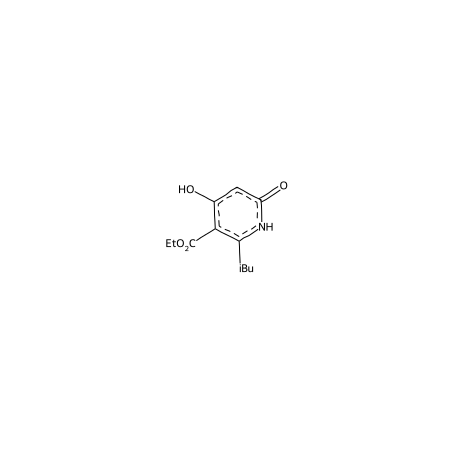 CCOC(=O)c1c(O)cc(=O)[nH]c1C(C)CC